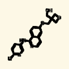 OCC1(COc2ccc3c(Nc4ccc(Cl)nc4)nccc3c2)COC1